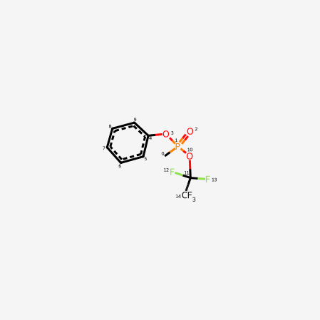 CP(=O)(Oc1ccccc1)OC(F)(F)C(F)(F)F